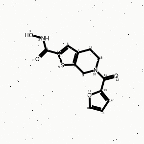 O=C(NO)c1cc2c(s1)CN(C(=O)c1ccco1)CC2